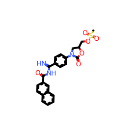 CS(=O)(=O)OCC1CN(c2ccc(C(=N)NC(=O)c3ccc4ccccc4c3)cc2)C(=O)O1